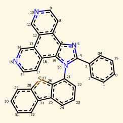 c1ccc(-c2nc3c4ccncc4c4cnccc4c3n2-c2cccc3c2sc2ccccc23)cc1